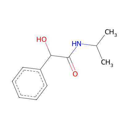 CC(C)NC(=O)C(O)c1ccccc1